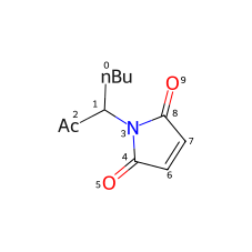 CCCCC(C(C)=O)N1C(=O)C=CC1=O